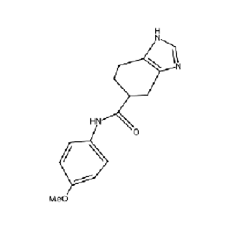 COc1ccc(NC(=O)C2CCc3[nH]cnc3C2)cc1